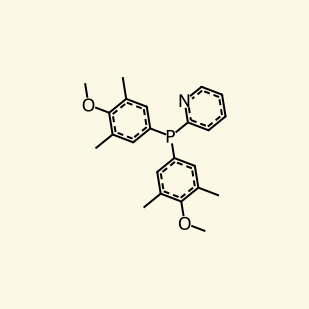 COc1c(C)cc(P(c2cc(C)c(OC)c(C)c2)c2ccccn2)cc1C